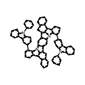 c1ccc(-n2c3ccccc3c3cc(-c4cccc5c6c7ccccc7cc7c8cc9c(cc8n(c45)c76)c4cc5ccccc5c5c6cccc(-c7ccc8c(c7)c7ccccc7n8-c7ccccc7)c6n9c45)ccc32)cc1